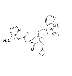 Cc1cccnc1NC(=O)CN1CC2(CCC(c3ccccc3)(N(C)C)CC2)N(CC2CCC2)C1=O